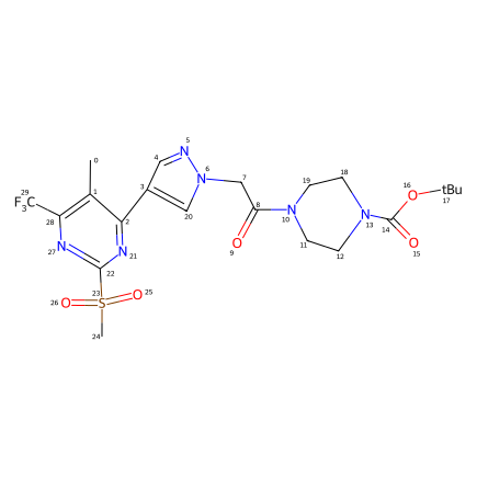 Cc1c(-c2cnn(CC(=O)N3CCN(C(=O)OC(C)(C)C)CC3)c2)nc(S(C)(=O)=O)nc1C(F)(F)F